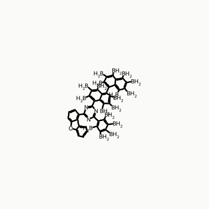 Bc1c(B)c(B)c(-c2nc(-c3c(B)c(B)c(B)c4c(-c5c(B)c(B)c(B)c6c(B)c(B)c(B)c(B)c56)c(B)c(B)c(B)c34)nc(-c3cccc4oc5ccccc5c34)n2)c(B)c1B